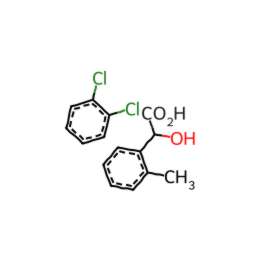 Cc1ccccc1C(O)C(=O)O.Clc1ccccc1Cl